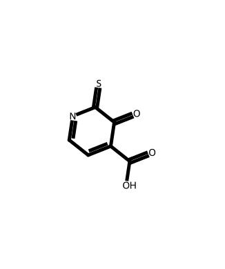 O=C(O)C1=CC=NC(=S)C1=O